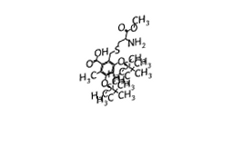 COC(=O)C(N)CSCc1c(O[Si](C)(C)C(C)(C)C)cc(O[Si](C)(C)C(C)(C)C)c(C)c1C(=O)O